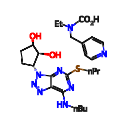 CCCCNc1nc(SCCC)nc2c1nnn2[C@@H]1CC[C@@H](O)[C@H]1O.CCN(Cc1ccncc1)C(=O)O